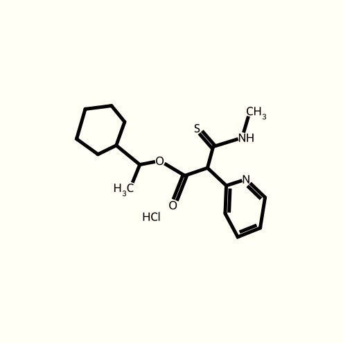 CNC(=S)C(C(=O)OC(C)C1CCCCC1)c1ccccn1.Cl